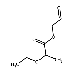 CCOC(C)C(=O)OCC=O